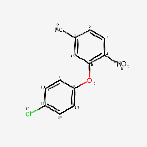 CC(=O)c1ccc([N+](=O)[O-])c(Oc2ccc(Cl)cc2)c1